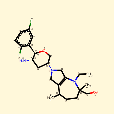 CCN1C2=C(CN([C@H]3CO[C@H](c4cc(F)ccc4F)[C@@H](N)C3)C2)C(C)CCC1(C)CO